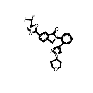 O=C1c2cc(-c3nnc(C(F)F)o3)ccc2CN1c1ccccc1-c1cnn(C2CCOCC2)c1